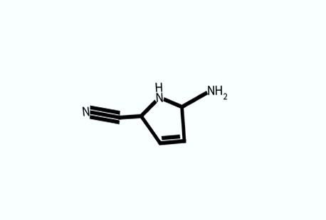 N#CC1C=CC(N)N1